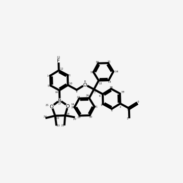 C=C(C)c1ccc(C(OCc2cc(F)ccc2B2OC(C)(C)C(C)(C)O2)(c2ccccc2)c2ccccc2)cc1